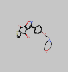 O=C1c2onc(-c3ccc(OCCN4CCOCC4)cc3)c2C(=O)c2ccsc21